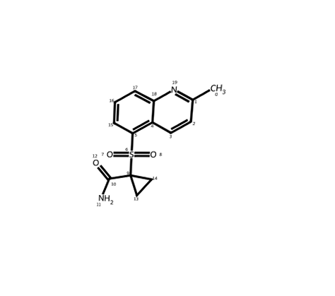 Cc1ccc2c(S(=O)(=O)C3(C(N)=O)CC3)cccc2n1